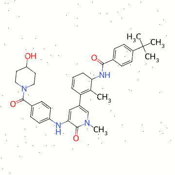 CC1=C(c2cc(Nc3ccc(C(=O)N4CCC(O)CC4)cc3)c(=O)n(C)c2)C=CCC1NC(=O)c1ccc(C(C)(C)C)cc1